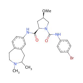 CO[C@@H]1C[C@H](C(=O)Nc2ccc3c(c2)CC(C)N(C)CC3)N(C(=O)Nc2ccc(Br)cc2)C1